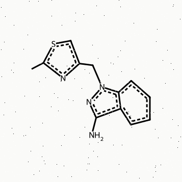 Cc1nc(Cn2nc(N)c3ccccc32)cs1